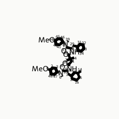 COc1ccc(N(C)C(=O)[C@H](CC2=CC(C)CC=C2)NC(=O)CC(C)(C)C(=O)N[C@@H](Cc2ccccc2)C(=O)N(C)c2ccc(OC)cc2)cc1